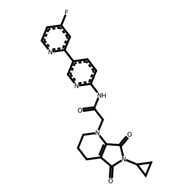 O=C(CN1CCCC2=C1C(=O)N(C1CC1)C2=O)Nc1ccc(-c2cc(F)ccn2)cn1